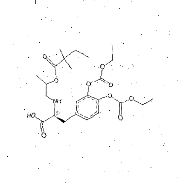 CCOC(=O)Oc1ccc(C[C@H](NCC(C)OC(=O)C(C)(C)CC)C(=O)O)cc1OC(=O)OCC